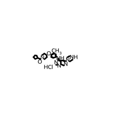 Cc1cc(Nc2ncnc3cnc(N4CCNCC4)cc23)ccc1OC1CCN(C(=O)C2CCCC2)CC1.Cl